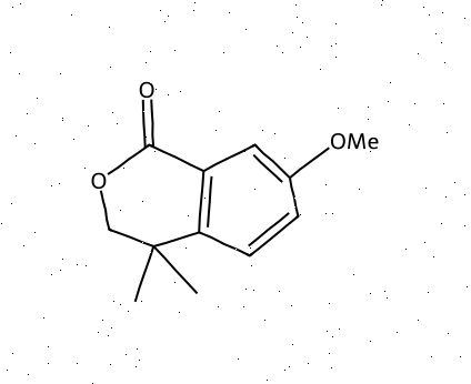 COc1ccc2c(c1)C(=O)OCC2(C)C